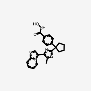 Cc1sc(C2(c3ccc(C(=O)NO)cc3)CCCC2)nc1-c1cnc2ccccn12